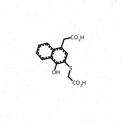 O=C(O)CSc1cc(CC(=O)O)c2ccccc2c1O